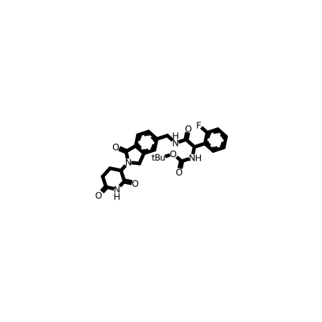 CC(C)(C)OC(=O)NC(C(=O)NCc1ccc2c(c1)CN(C1CCC(=O)NC1=O)C2=O)c1ccccc1F